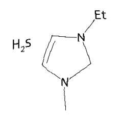 CCN1C=CN(C)C1.S